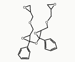 c1ccc(C2(OC3(c4ccccc4)OC3COCC3CO3)OC2COCC2CO2)cc1